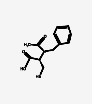 CC(=O)N(Cc1ccccc1)[C@@H](CS)C(=O)O